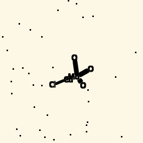 [O]=[Mo](=[O])(=[O])[Cu][Cl]